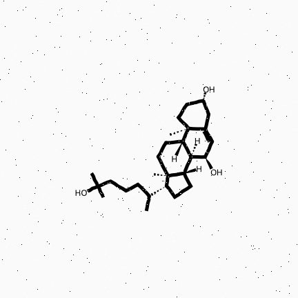 CC(CCCC(C)(C)O)[C@H]1CC[C@H]2[C@@H]3[C@H](O)C=C4C[C@@H](O)CC[C@]4(C)[C@H]3CC[C@]12C